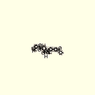 O=C(c1ccccc1)N1CC=C(c2cccc(C3(c4nc5c(c(=O)[nH]4)CN(C(=O)C(O)c4cccc(C(F)(F)F)c4)CCC5)CC3)c2)CC1